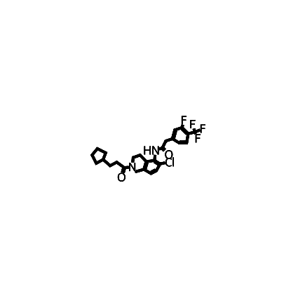 O=C(Cc1ccc(C(F)(F)F)c(F)c1)Nc1c(Cl)ccc2c1CCN(C(=O)CCC1CCCC1)C2